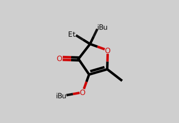 CCC(C)OC1=C(C)OC(CC)(C(C)CC)C1=O